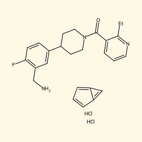 CCc1ncccc1C(=O)N1CCC(c2ccc(F)c(CN)c2)CC1.Cl.Cl.c1cc2cc-2c1